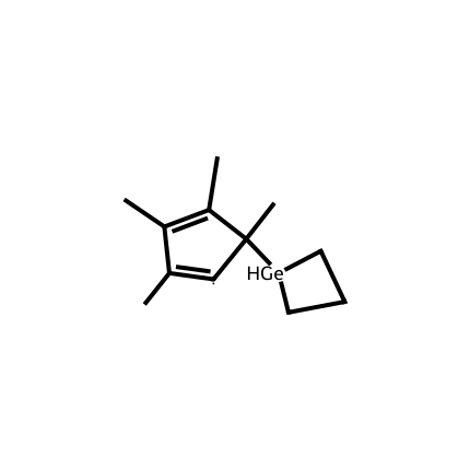 CC1=[C][C](C)([GeH]2[CH2]C[CH2]2)C(C)=C1C